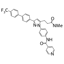 CNC(=O)CCc1cc(-c2ccc(-c3ccc(C(F)(F)F)cc3)cc2)nn1-c1ccc(NC(=O)c2ccncc2)cc1